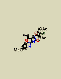 COc1ccc(C(=O)Nc2nc(=O)n([C@@H]3O[C@H](COC(C)=O)[C@H](Br)[C@H]3OC(C)=O)cc2C=CI)cc1